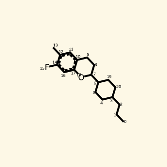 CCCC1CCC(C2CCc3cc(C)c(F)cc3O2)CC1